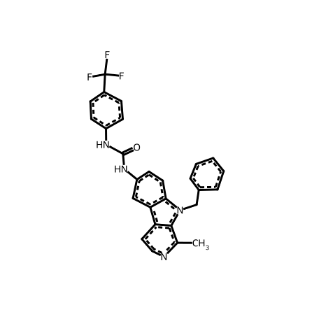 Cc1nccc2c3cc(NC(=O)Nc4ccc(C(F)(F)F)cc4)ccc3n(Cc3ccccc3)c12